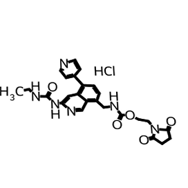 CCNC(=O)Nc1cc2c(-c3ccncc3)ccc(CNC(=O)OCCN3C(=O)CCC3=O)c2cn1.Cl